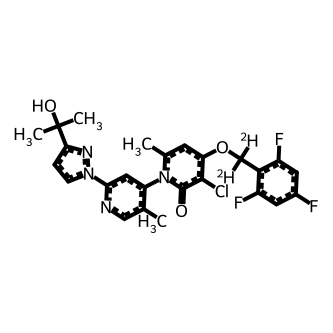 [2H]C([2H])(Oc1cc(C)n(-c2cc(-n3ccc(C(C)(C)O)n3)ncc2C)c(=O)c1Cl)c1c(F)cc(F)cc1F